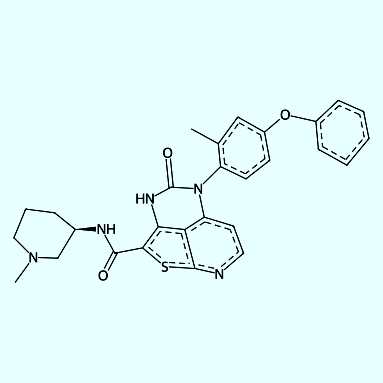 Cc1cc(Oc2ccccc2)ccc1N1C(=O)Nc2c(C(=O)N[C@@H]3CCCN(C)C3)sc3nccc1c23